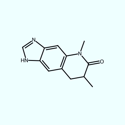 CC1Cc2cc3[nH]cnc3cc2N(C)C1=O